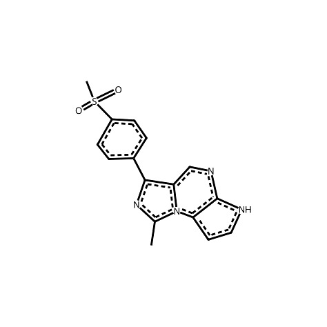 Cc1nc(-c2ccc(S(C)(=O)=O)cc2)c2cnc3[nH]ccc3n12